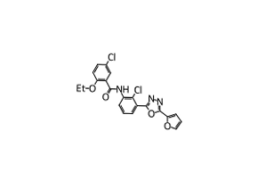 CCOc1ccc(Cl)cc1C(=O)Nc1cccc(-c2nnc(-c3ccco3)o2)c1Cl